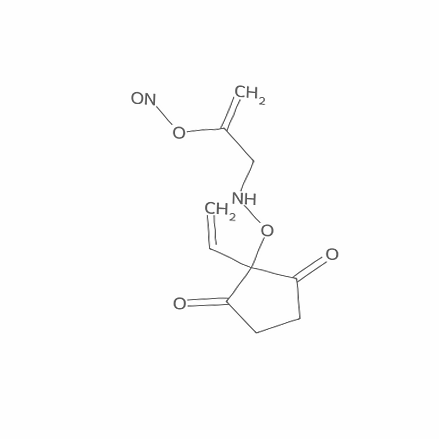 C=CC1(ONCC(=C)ON=O)C(=O)CCC1=O